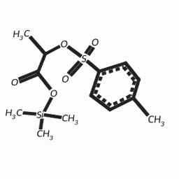 Cc1ccc(S(=O)(=O)OC(C)C(=O)O[Si](C)(C)C)cc1